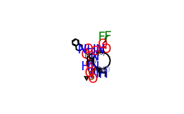 O=C(N[C@H]1CCCCC/C=C\[C@@H]2C[C@@]2(C(=O)NS(=O)(=O)C2CC2)NC(=O)[C@@H]2C[C@@H](OC(=O)N3CCc4ccccc4C3)CN2C1=O)OCC(F)F